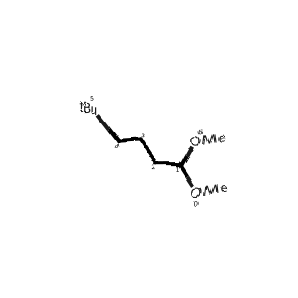 COC(CCCC(C)(C)C)OC